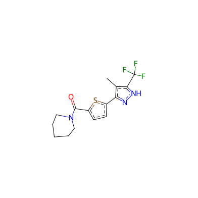 Cc1c(-c2ccc(C(=O)N3CCCCC3)s2)n[nH]c1C(F)(F)F